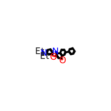 CCN(CC)c1ccc2nc3c4ccc(-c5ccccc5)cc4c(=O)cc-3oc2c1